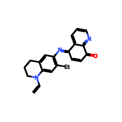 C=CN1CCCc2cc(N=C3C=CC(=O)c4ncccc43)c(CC)cc21